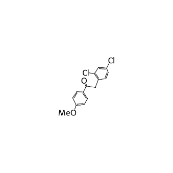 COc1ccc(C(=O)Cc2ccc(Cl)cc2Cl)cc1